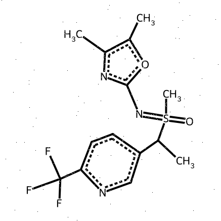 Cc1nc(N=S(C)(=O)C(C)c2ccc(C(F)(F)F)nc2)oc1C